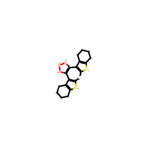 Cc1sc2c(c1C1=C(c3c(C)sc4c3CCCC4)OOO1)CCCC2